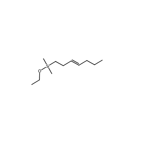 CCCC=CCC[Si](C)(C)OCC